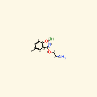 Cc1ccc2onc(OCCN)c2c1.Cl